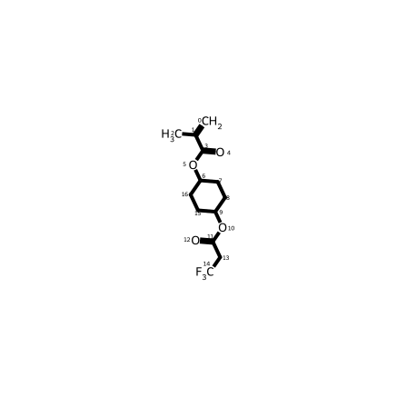 C=C(C)C(=O)OC1CCC(OC(=O)CC(F)(F)F)CC1